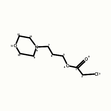 O=C(CCl)OCCCN1CCOCC1